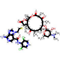 CC[C@H]1OC(=O)[C@H](C)C(=O)[C@H](C)[C@@H](O[C@@H]2O[C@H](C)C[C@H](N(C)C)[C@H]2O)[C@](C)(OC)C[C@@H](C)C(=O)[C@H](C)[C@H]2[C@H](SCCn3cnc4c(N)ncc(C(=O)Nc5c(Cl)cncc5Cl)c43)C(=O)O[C@@]21C